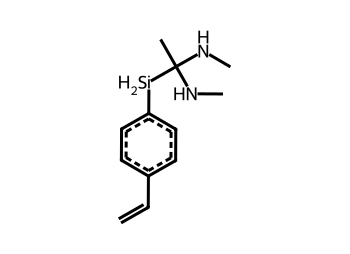 C=Cc1ccc([SiH2]C(C)(NC)NC)cc1